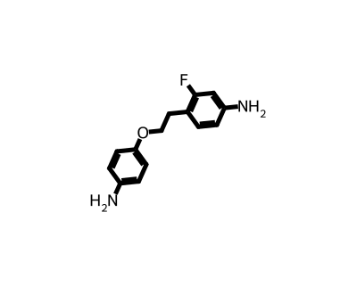 Nc1ccc(OCCc2ccc(N)cc2F)cc1